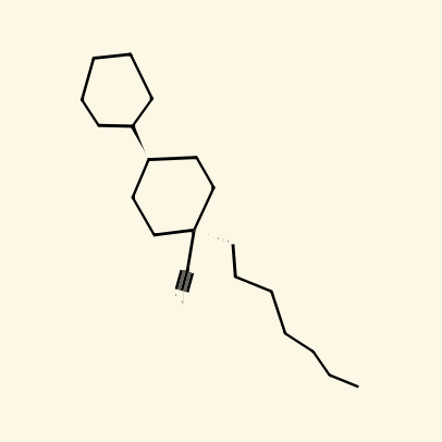 CCCCCCC[C@]1(C#N)CC[C@@H](C2CCCCC2)CC1